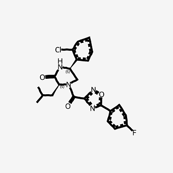 CC(C)C[C@H]1C(=O)N[C@@H](c2ccccc2Cl)CN1C(=O)c1noc(-c2ccc(F)cc2)n1